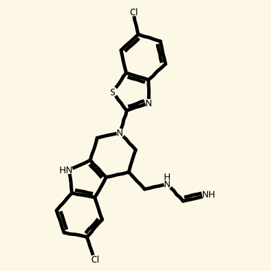 N=CNCC1CN(c2nc3ccc(Cl)cc3s2)Cc2[nH]c3ccc(Cl)cc3c21